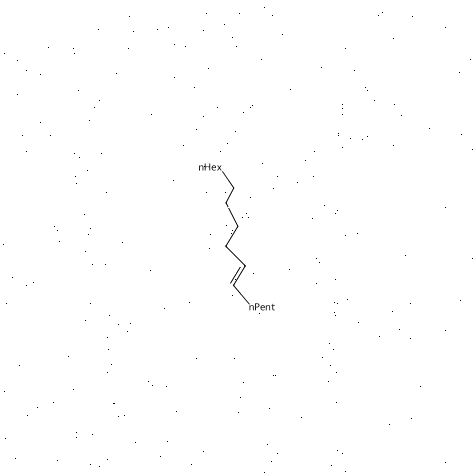 [CH2]CCCCCCCCCC=CCCCCC